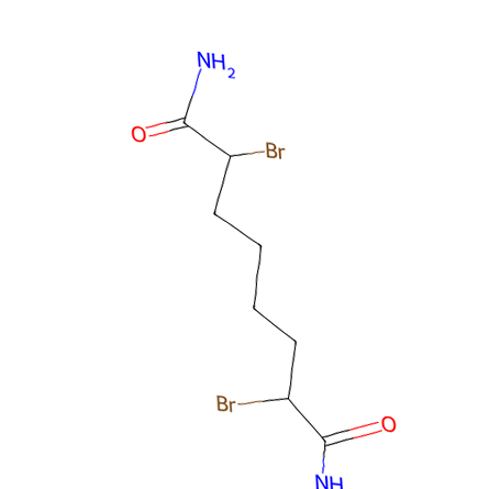 NC(=O)C(Br)CCCCC(Br)C(N)=O